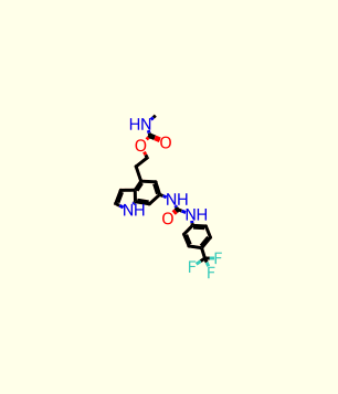 CNC(=O)OCCc1cc(NC(=O)Nc2ccc(C(F)(F)F)cc2)cc2[nH]ccc12